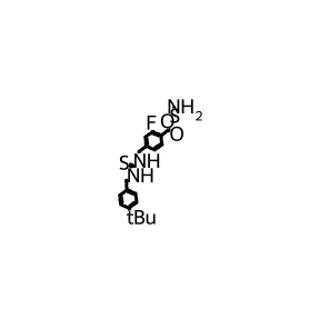 CC(C)(C)c1ccc(CNC(=S)NCc2ccc(C(=O)OSN)c(F)c2)cc1